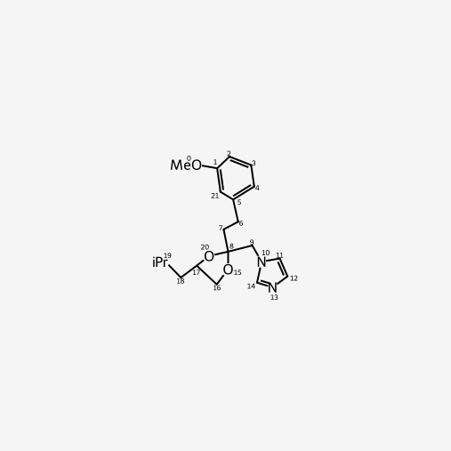 COc1cccc(CCC2(Cn3ccnc3)OCC(CC(C)C)O2)c1